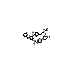 O=COC(=O)CCc1ccc(Nc2nc(Cc3ccccc3)cc(Nc3nc4ccc(N5CCNCC5)nc4s3)n2)cc1